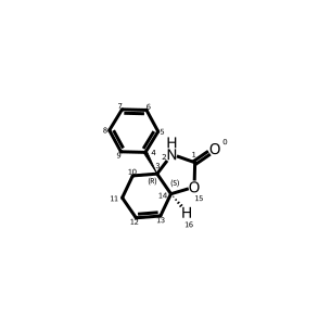 O=C1N[C@@]2(c3ccccc3)CCC=C[C@@H]2O1